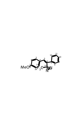 COc1ccc(C=C(c2ccccc2)C2(C(F)(F)F)N=N2)cc1